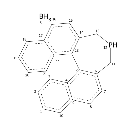 B.c1ccc2c3c(ccc2c1)CPCc1ccc2ccccc2c1-3